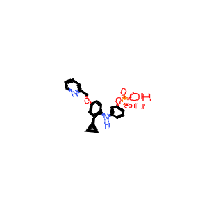 O=P(O)(O)Oc1cccc(Nc2ccc(OCc3ccccn3)cc2C2CC2)c1